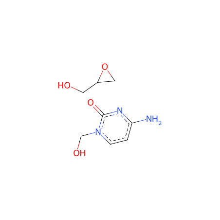 Nc1ccn(CO)c(=O)n1.OCC1CO1